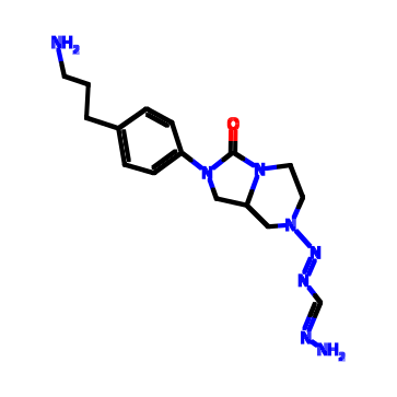 NCCCc1ccc(N2CC3CN(N=NC=NN)CCN3C2=O)cc1